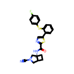 N#CN1CC2CC[C@]2(NC(=O)c2ncc(-c3ccccc3Sc3ccc(F)cc3)s2)C1